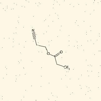 CCC(=O)OCCC#N